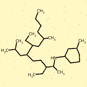 CCCCC(C)CC(CC)C(CCC(CC)C(C)NC1CCCC(C)C1)CC(C)C